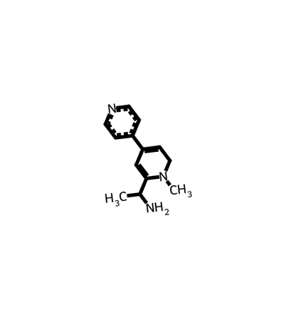 CC(N)C1=CC(c2ccncc2)=CCN1C